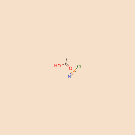 CC(=O)O.N#[P]Cl